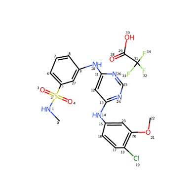 CNS(=O)(=O)c1cccc(Nc2cc(Nc3ccc(Cl)c(OC)c3)ncn2)c1.O=C(O)C(F)(F)F